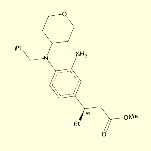 CC[C@H](CC(=O)OC)c1ccc(N(CC(C)C)C2CCOCC2)c(N)c1